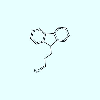 C=CC[CH]C1c2ccccc2-c2ccccc21